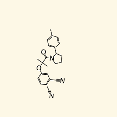 Cc1ccc(C2CCCN2C(=O)C(C)(C)Oc2ccc(C#N)c(C#N)c2)cc1